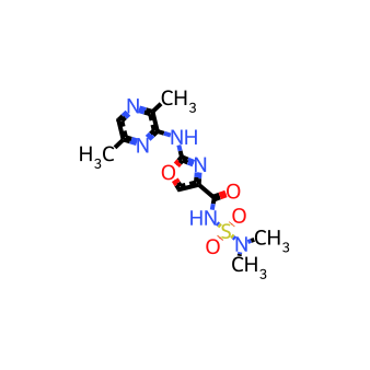 Cc1cnc(C)c(Nc2nc(C(=O)NS(=O)(=O)N(C)C)co2)n1